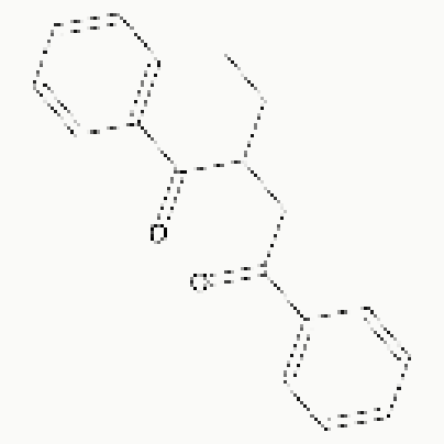 CCC(CC(=O)c1ccccc1)C(=O)c1ccccc1